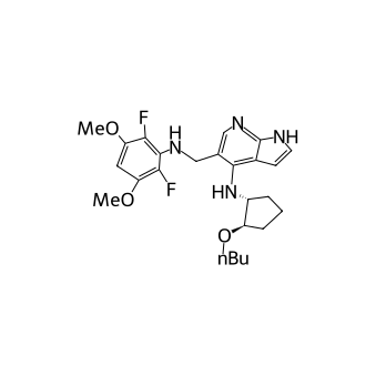 CCCCO[C@@H]1CCC[C@H]1Nc1c(CNc2c(F)c(OC)cc(OC)c2F)cnc2[nH]ccc12